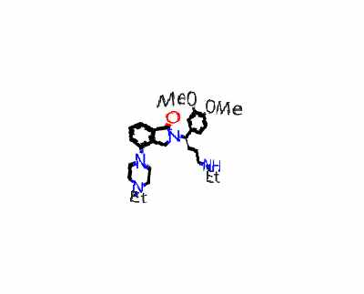 CCNCCC[C@H](c1ccc(OC)c(OC)c1)N1Cc2c(cccc2N2CCN(CC)CC2)C1=O